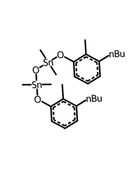 CCCCc1cccc([O][Sn]([CH3])([CH3])[O][Sn]([CH3])([CH3])[O]c2cccc(CCCC)c2C)c1C